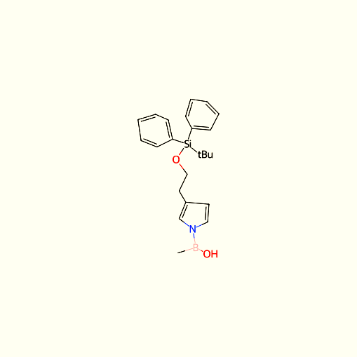 CB(O)n1ccc(CCO[Si](c2ccccc2)(c2ccccc2)C(C)(C)C)c1